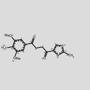 COc1cc(C(=O)CCC(=O)c2csc(C)n2)cc(OC)c1C